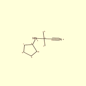 CC(C)(C#N)NC1CCCC1